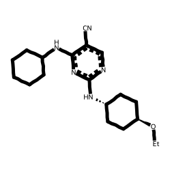 CCO[C@H]1CC[C@H](Nc2ncc(C#N)c(NC3CCCCC3)n2)CC1